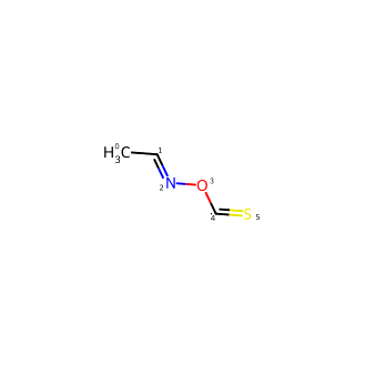 CC=NO[C]=S